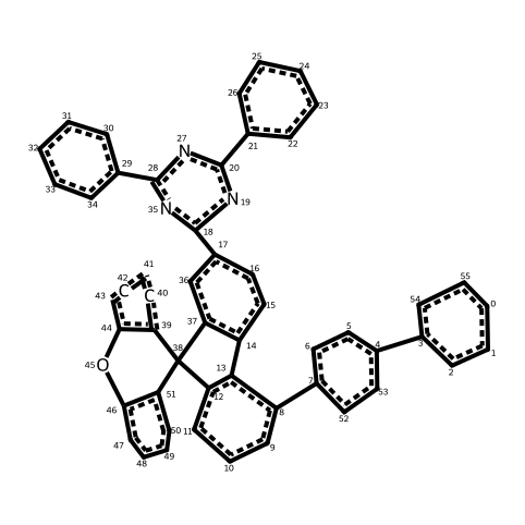 c1ccc(-c2ccc(-c3cccc4c3-c3ccc(-c5nc(-c6ccccc6)nc(-c6ccccc6)n5)cc3C43c4ccccc4Oc4ccccc43)cc2)cc1